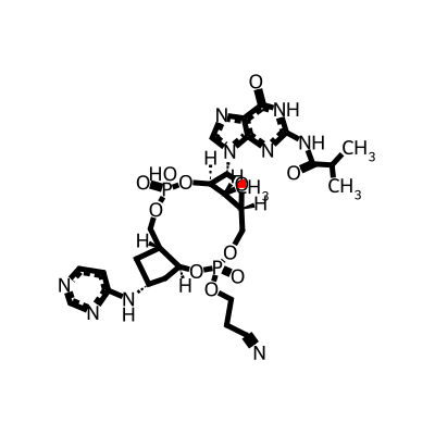 CC(C)C(=O)Nc1nc2c(ncn2[C@@H]2O[C@@H]3COP(=O)(OCCC#N)O[C@H]4C[C@H](Nc5ccncn5)C[C@@H]4COP(=O)(O)O[C@@H]2[C@@H]3C)c(=O)[nH]1